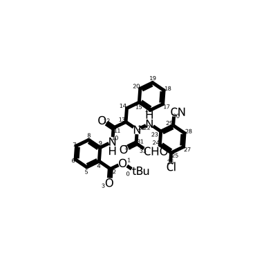 CC(C)(C)OC(=O)c1ccccc1NC(=O)C(Cc1ccccc1)N(Nc1cc(Cl)ccc1C#N)C(=O)C=O